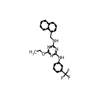 CCOc1nc(NCc2cccc3ccccc23)nc(Nc2cccc(C(F)(F)F)c2)n1